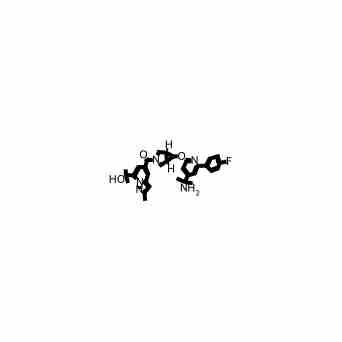 Cc1cc2cc(C(=O)N3C[C@@H]4C(Oc5cc(C(C)(C)N)cc(-c6ccc(F)cc6)n5)[C@@H]4C3)cc(C(C)(C)O)n2n1